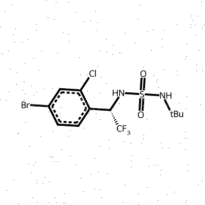 CC(C)(C)NS(=O)(=O)N[C@@H](c1ccc(Br)cc1Cl)C(F)(F)F